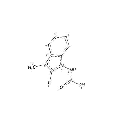 Cc1c(Cl)n(NC(=O)O)c2ccccc12